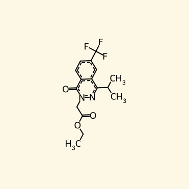 CCOC(=O)Cn1nc(C(C)C)c2cc(C(F)(F)F)ccc2c1=O